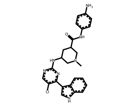 CN1CC(Nc2ncc(Cl)c(-c3c[nH]c4ccccc34)n2)CC(C(=O)Nc2ccc(N)cc2)C1